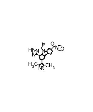 Cc1noc(C)c1-c1cc(-c2nc[nH]n2)c2c(c1)c1ccc(C(=O)N3CCOCC3)cc1n2CC1CC1